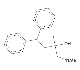 CNCC(C)(O)CC(c1ccccc1)c1ccccc1